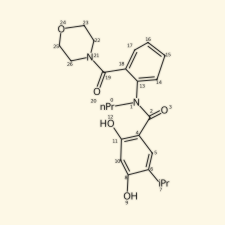 CCCN(C(=O)c1cc(C(C)C)c(O)cc1O)c1ccccc1C(=O)N1CCOCC1